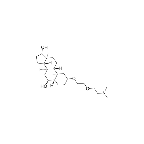 CN(C)CCOCCOC1CC[C@@H]2[C@@H](O)C[C@@H]3[C@H](CC[C@]4(C)[C@@H](O)CC[C@@H]34)[C@@]2(C)C1